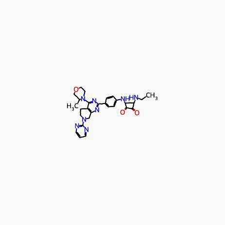 CCNC1C(=O)C(=O)C1Nc1ccc(-c2nc3c(c(N4CCOCC4C)n2)CCN(c2ncccn2)C3)cc1